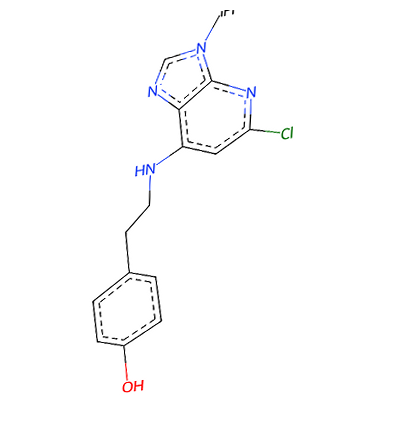 CC(C)n1cnc2c(NCCc3ccc(O)cc3)cc(Cl)nc21